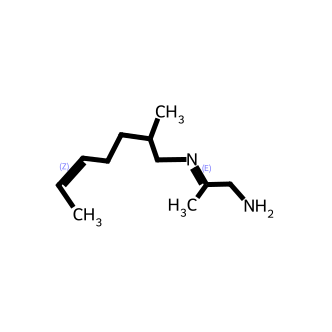 C/C=C\CCC(C)C/N=C(\C)CN